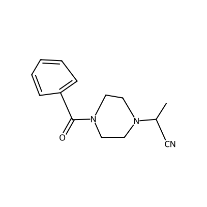 CC(C#N)N1CCN(C(=O)c2ccccc2)CC1